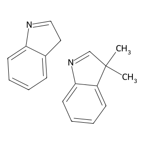 C1=Nc2ccccc2C1.CC1(C)C=Nc2ccccc21